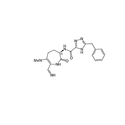 CNC1=C(C=N)NC(=O)[C@H](NC(=O)c2nnc(Cc3ccccc3)[nH]2)CC1